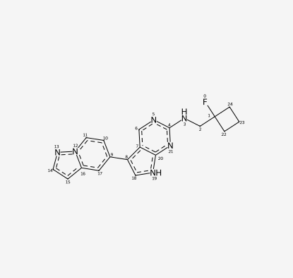 FC1(CNc2ncc3c(-c4ccn5nccc5c4)c[nH]c3n2)CCC1